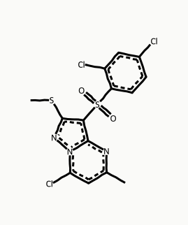 CSc1nn2c(Cl)cc(C)nc2c1S(=O)(=O)c1ccc(Cl)cc1Cl